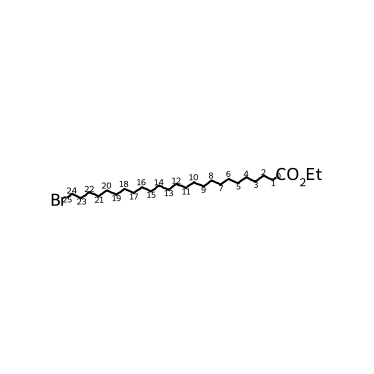 CCOC(=O)CCCCCCCCCCCCCCCCCCCCCCCCBr